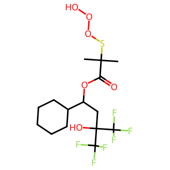 CC(C)(SOOO)C(=O)OC(CC(O)(C(F)(F)F)C(F)(F)F)C1CCCCC1